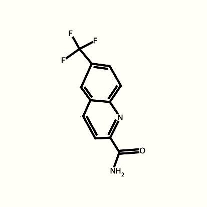 NC(=O)c1c[c]c2cc(C(F)(F)F)ccc2n1